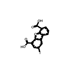 O=C(O)c1cccc2c1oc1c(C(=O)O)cc(I)cc12